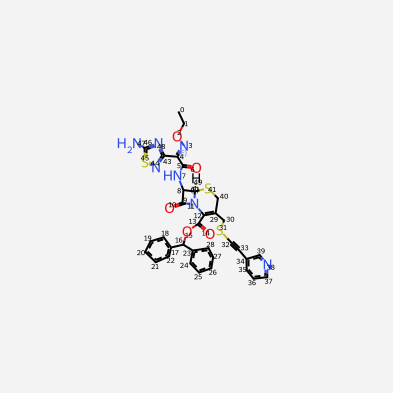 CCO/N=C(/C(=O)NC1C(=O)N2C(C(=O)OC(c3ccccc3)c3ccccc3)=C(CSC#Cc3cccnc3)CS[C@H]12)c1nsc(N)n1